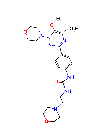 CCOc1c(C(=O)O)nc(-c2ccc(NC(=O)NCCN3CCOCC3)cc2)nc1N1CCOCC1